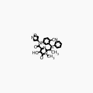 C[C@@H](c1nc(C(=O)Nc2cnoc2)c(O)c(=O)n1C)[C@H](c1ccccc1)c1ccccc1C#N